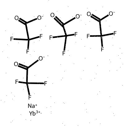 O=C([O-])C(F)(F)F.O=C([O-])C(F)(F)F.O=C([O-])C(F)(F)F.O=C([O-])C(F)(F)F.[Na+].[Yb+3]